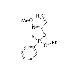 C=CC(=NOC)OP(=S)(OCC)c1ccccc1